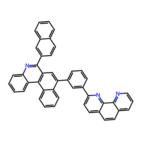 c1cc(-c2ccc3ccc4cccnc4c3n2)cc(-c2cc3c(-c4ccc5ccccc5c4)nc4ccccc4c3c3ccccc23)c1